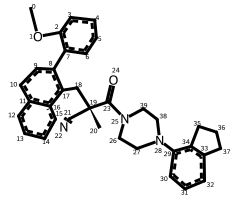 COc1ccccc1-c1ccc2ccccc2c1C[C@@](C)(C#N)C(=O)N1CCN(c2cccc3c2CCC3)CC1